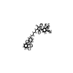 CC1=C(CCCCCN2CCN(C(=O)c3c(Cl)cccc3Cl)CC2)C(=O)N(c2ccc(C#N)c(C(F)(F)F)c2)C1=O